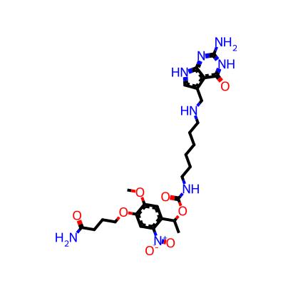 COc1cc(C(C)OC(=O)NCCCCCCNCc2c[nH]c3nc(N)[nH]c(=O)c23)c([N+](=O)[O-])cc1OCCCC(N)=O